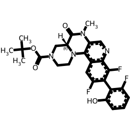 CN1C(=O)[C@H]2CN(C(=O)OC(C)(C)C)CCN2c2c1cnc1c(F)c(-c3c(O)cccc3F)c(F)cc21